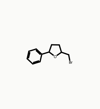 BrCC1CCC(c2ccccc2)O1